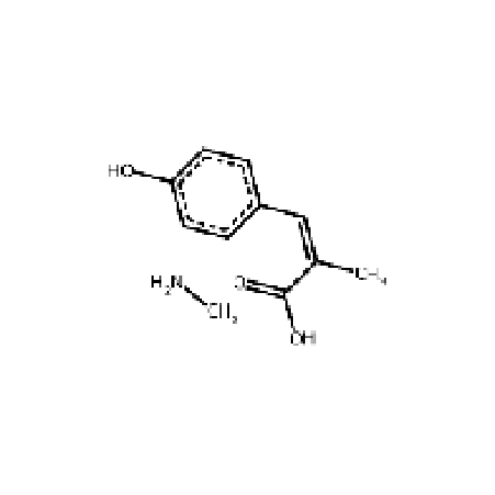 CC(=Cc1ccc(O)cc1)C(=O)O.CN